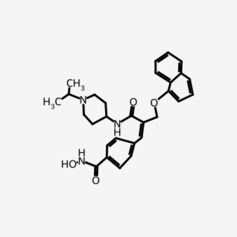 CC(C)N1CCC(NC(=O)C(=Cc2ccc(C(=O)NO)cc2)COc2cccc3ccccc23)CC1